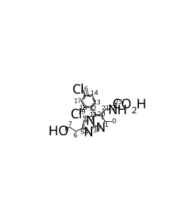 Cc1nc2nc(CCO)cn2c(-c2ccc(Cl)cc2Cl)c1CNC(=O)O